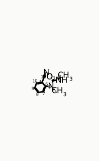 CNC(=O)N(C)c1ccccc1C#N